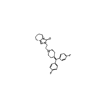 O=c1n(CCN2CCC(=C(c3ccc(F)cc3)c3ccc(F)cc3)CC2)nc2n1CCCC2